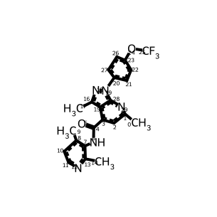 Cc1cc(C(=O)Nc2c(C)ccnc2C)c2c(C)nn(-c3ccc(OC(F)(F)F)cc3)c2n1